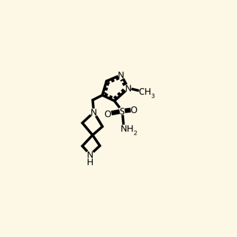 Cn1ncc(CN2CC3(CNC3)C2)c1S(N)(=O)=O